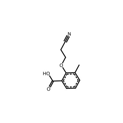 Cc1cccc(C(=O)O)c1OCCC#N